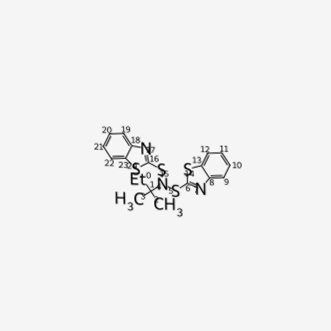 CCC(C)(C)N(Sc1nc2ccccc2s1)Sc1nc2ccccc2s1